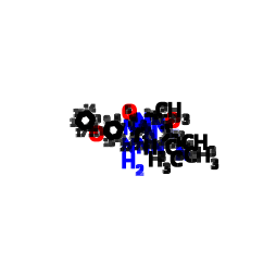 C[C@@H](Cn1c(=O)n(-c2ccc(Oc3ccccc3)cc2)c2c(N)ncnc21)NC(=O)/C(C#N)=C/C(C)(C)N(C)C